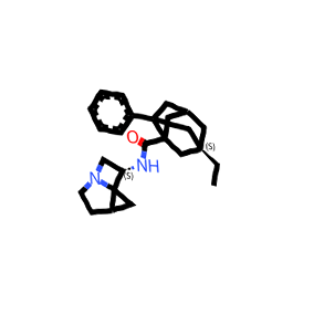 CC[C@@]12CC3CC(C(=O)N[C@H]4CN5CCC6CC645)(C1)C(c1ccccc1)(C3)C2